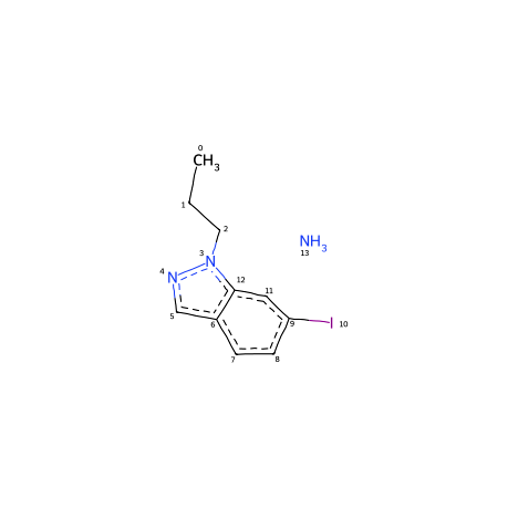 CCCn1ncc2ccc(I)cc21.N